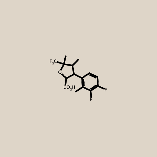 Cc1c(C2C(C(=O)O)OC(C)(C(F)(F)F)C2C)ccc(F)c1F